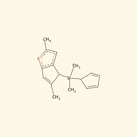 CC1=Cc2sc(C)cc2C1[Si](C)(C)C1C=CC=C1